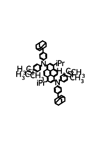 CC(C)c1cc(N(c2ccc(C34CC5CC(CC(C5)C3)C4)cc2)c2ccc([Si](C)(C)C)cc2)c2ccc3c(C(C)C)cc(N(c4ccc(C56CC7CC(CC(C7)C5)C6)cc4)c4ccc([Si](C)(C)C)cc4)c4ccc1c2c34